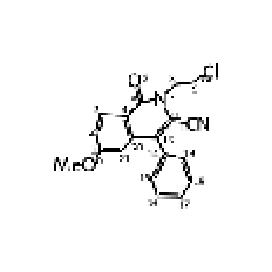 COc1ccc2c(=O)n(CCCl)c(C#N)c(-c3ccccc3)c2c1